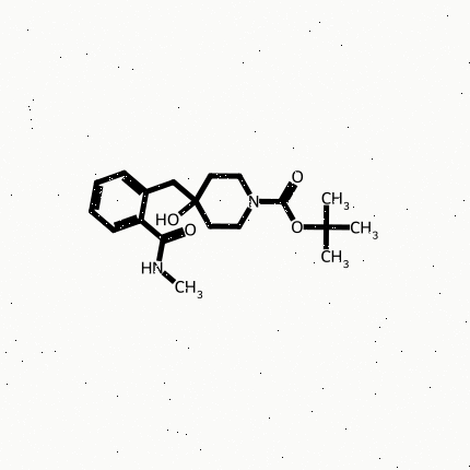 CNC(=O)c1ccccc1CC1(O)CCN(C(=O)OC(C)(C)C)CC1